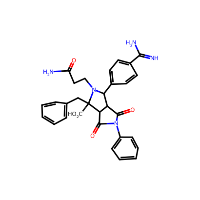 N=C(N)c1ccc(C2C3C(=O)N(c4ccccc4)C(=O)C3C(Cc3ccccc3)(C(=O)O)N2CCC(N)=O)cc1